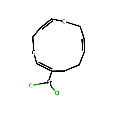 [Cl][Pt]([Cl])[C]1=CCCC=CCCC=CCC1